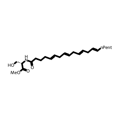 CCCCCC=CCC=CCC=CCC=CCCCC(=O)N[C@@H](CO)C(=O)OC